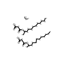 CCCCCCCCCCC(C)OC(=O)CC(=O)[O-].CCCCCCCCCCC(C)OC(=O)CC(=O)[O-].[K+].[Na+]